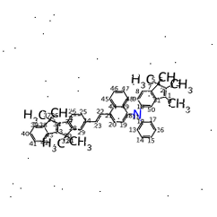 CC1=C(C)C(C)(C)c2ccc(N(c3ccccc3)c3ccc(/C=C/c4ccc5c(c4)C(C)(C)C4=C5C(C)(C)c5ccccc54)c4ccccc34)cc21